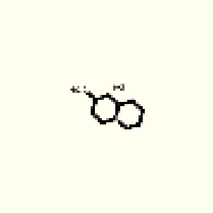 Cl.O=C(O)C1CCN2CCCCC2C1